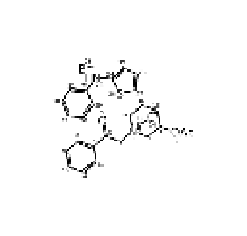 CC(=O)OC1C[N+]2(CC(=O)c3ccccc3)CCC1CC2.[Br-].c1ccc(Nc2cccs2)cc1